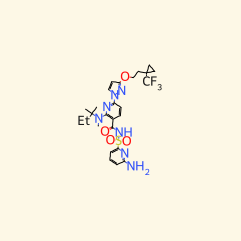 CCC(C)(C)N(C)c1nc(-n2ccc(OCCC3(C(F)(F)F)CC3)n2)ccc1C(=O)NS(=O)(=O)c1cccc(N)n1